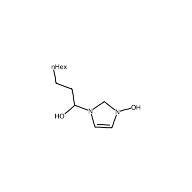 CCCCCCCCC(O)N1C=CN(O)C1